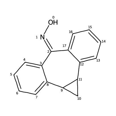 ON=C1c2ccccc2C2CC2c2ccccc21